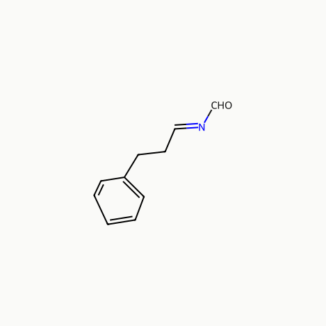 O=C/N=C/CCc1ccccc1